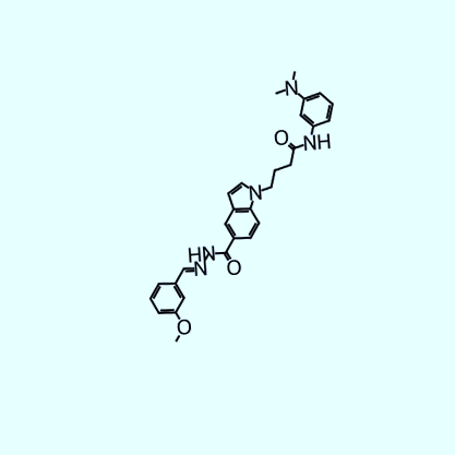 COc1cccc(C=NNC(=O)c2ccc3c(ccn3CCCC(=O)Nc3cccc(N(C)C)c3)c2)c1